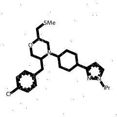 CSCC1CN(C2CCC(c3ccn(C(C)C)n3)CC2)C(Cc2ccc(Cl)cc2)CO1